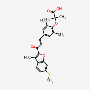 CSc1ccc2c(C)c(C(=O)C=Cc3cc(C)c(OC(C)(C)C(=O)O)c(C)c3)oc2c1